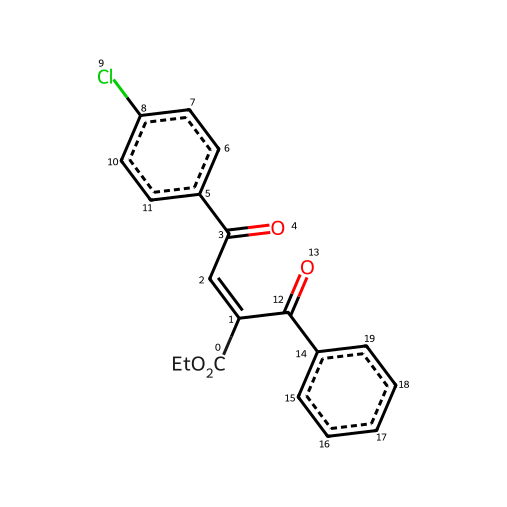 CCOC(=O)C(=CC(=O)c1ccc(Cl)cc1)C(=O)c1ccccc1